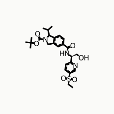 CCS(=O)(=O)c1ccc([C@H](CO)NC(=O)c2ccc3c(c2)CN(C(=O)OC(C)(C)C)C3C(C)C)nc1